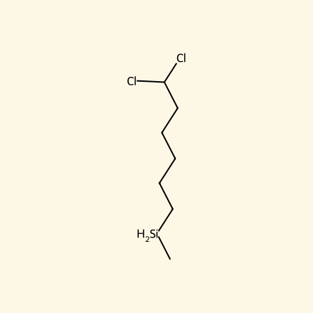 C[SiH2]CCCCCC(Cl)Cl